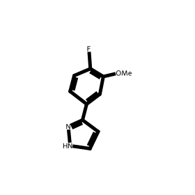 COc1cc(-c2cc[nH]n2)ccc1F